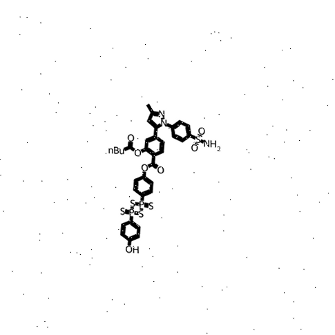 CCCCC(=O)Oc1cc(-c2cc(C)nn2-c2ccc(S(N)(=O)=O)cc2)ccc1C(=O)Oc1ccc(P2(=S)SP(=S)(c3ccc(O)cc3)S2)cc1